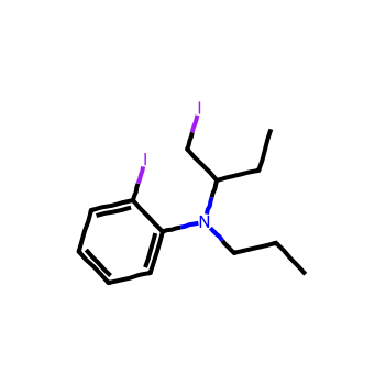 CCCN(c1ccccc1I)C(CC)CI